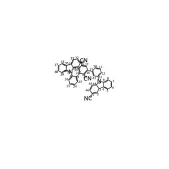 N#CC1=CC2c3ccccc3N(c3cccc(-c4cc(C#N)cc(-c5ccccc5-n5c6ccccc6c6ccccc65)c4C#N)c3)C2C=C1